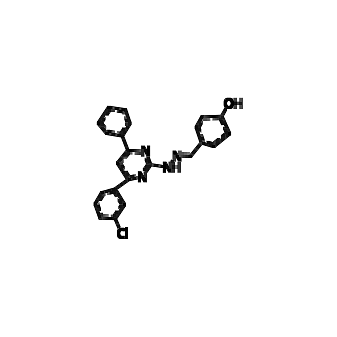 Oc1ccc(C=NNc2nc(-c3ccccc3)cc(-c3cccc(Cl)c3)n2)cc1